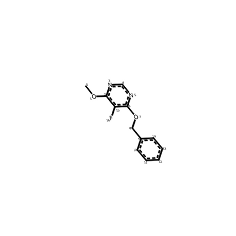 COc1ncnc(OCc2ccccc2)c1F